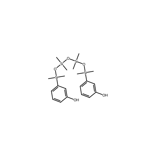 C[Si](C)(O[Si](C)(C)O[Si](C)(C)c1cccc(O)c1)O[Si](C)(C)c1cccc(O)c1